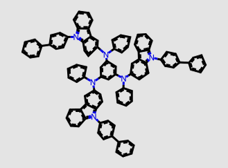 c1ccc(-c2ccc(-n3c4ccccc4c4cc(N(c5ccccc5)c5cc(N(c6ccccc6)c6ccc7c(c6)c6ccccc6n7-c6ccc(-c7ccccc7)cc6)cc(N(c6ccccc6)c6ccc7c(c6)c6ccccc6n7-c6ccc(-c7ccccc7)cc6)c5)ccc43)cc2)cc1